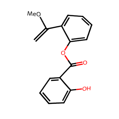 C=C(OC)c1ccccc1OC(=O)c1ccccc1O